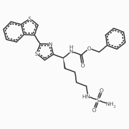 NS(=O)(=O)NCCCC[C@H](NC(=O)OCc1ccccc1)c1csc(-c2csc3ccccc23)n1